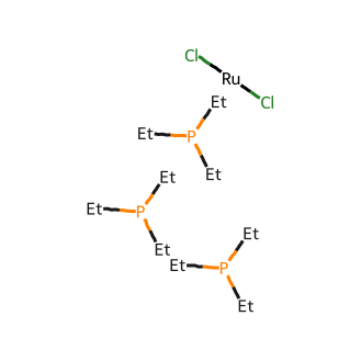 CCP(CC)CC.CCP(CC)CC.CCP(CC)CC.[Cl][Ru][Cl]